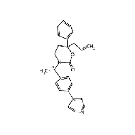 C=CCC1(c2ccccc2)CCN([C@@H](C)c2ccc(-c3ccncc3)cc2)C(=O)O1